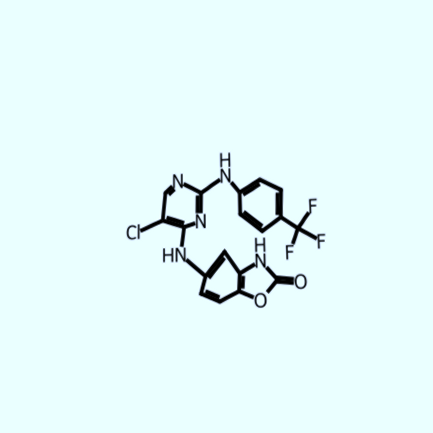 O=c1[nH]c2cc(Nc3nc(Nc4ccc(C(F)(F)F)cc4)ncc3Cl)ccc2o1